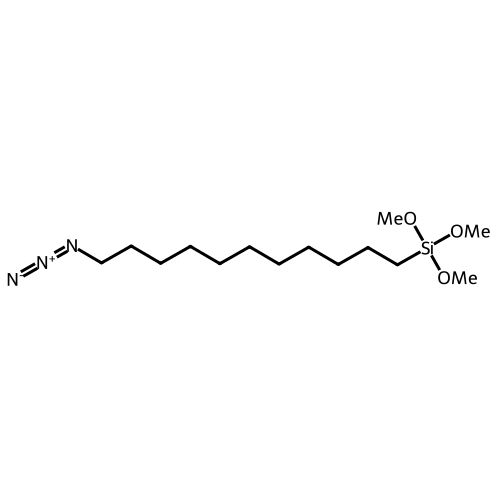 CO[Si](CCCCCCCCCCCN=[N+]=[N-])(OC)OC